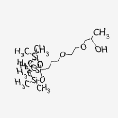 CC(O)COCCOCCC[Si](C)(O[Si](C)(C)C)O[Si](C)(C)C